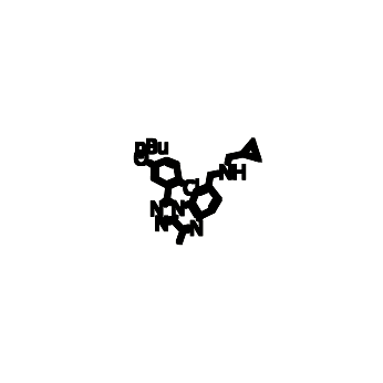 CCCCOc1ccc(Cl)c(-c2nnc3c(C)nc4ccc(CNCC5CC5)cc4n23)c1